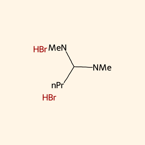 Br.Br.CCCC(NC)NC